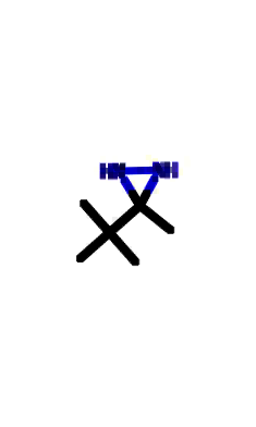 CC(C)(C)C1(C)NN1